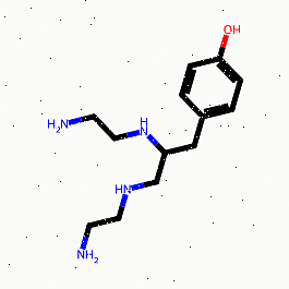 NCCNCC(Cc1ccc(O)cc1)NCCN